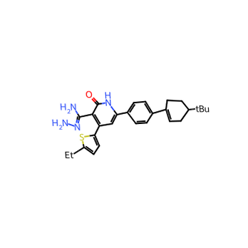 CCc1ccc(-c2cc(-c3ccc(C4=CCC(C(C)(C)C)CC4)cc3)[nH]c(=O)c2/C(N)=N/N)s1